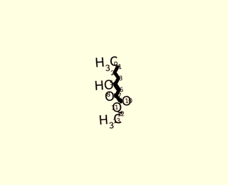 CCCCC(O)=CC(=O)C(=O)OCC